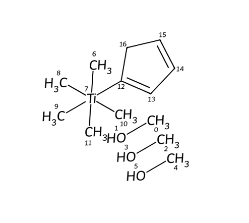 CO.CO.CO.[CH3][Ti]([CH3])([CH3])([CH3])([CH3])[C]1=CC=CC1